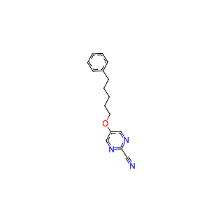 N#Cc1ncc(OCCCCCc2ccccc2)cn1